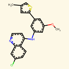 COc1cc(Nc2ccnc3cc(Cl)ccc23)cc(-c2cc(C)cs2)c1